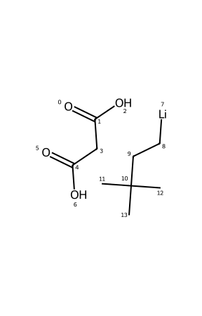 O=C(O)CC(=O)O.[Li][CH2]CC(C)(C)C